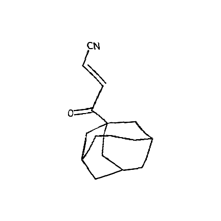 N#CC=CC(=O)C12CC3CC(CC(C3)C1)C2